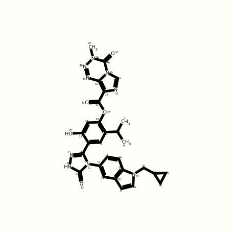 CC(C)c1cc(-c2n[nH]c(=O)n2-c2ccc3c(ccn3CC3CC3)c2)c(O)cc1OC(=O)c1ncn2c(=O)n(C)nnc12